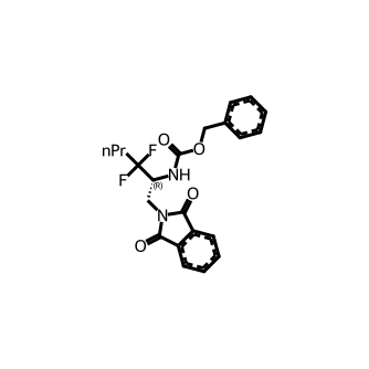 CCCC(F)(F)[C@@H](CN1C(=O)c2ccccc2C1=O)NC(=O)OCc1ccccc1